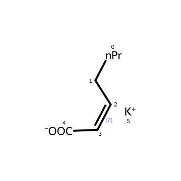 CCCC/C=C\C(=O)[O-].[K+]